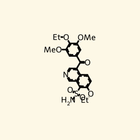 CCOc1ccc2c(C(=O)c3cc(OC)c(OCC)c(OC)c3)cncc2c1S(N)(=O)=O